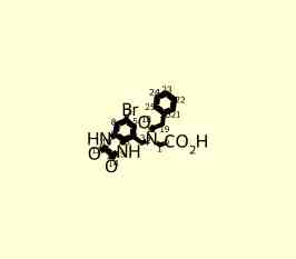 O=C(O)CN(Cc1cc(Br)cc2[nH]c(=O)c(=O)[nH]c12)C(=O)Cc1ccccc1